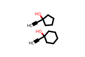 C#CC1(O)CCCC1.C#CC1(O)CCCCC1